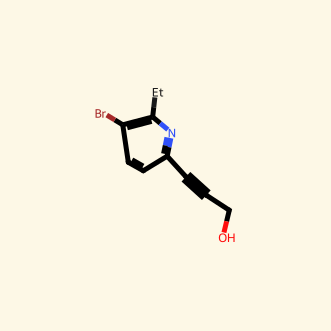 CCc1nc(C#CCO)ccc1Br